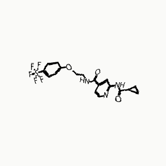 O=C(NCCOc1ccc(S(F)(F)(F)(F)F)cc1)c1ccnc(NC(=O)C2CC2)c1